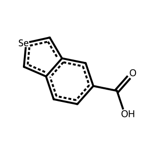 O=C(O)c1ccc2c[se]cc2c1